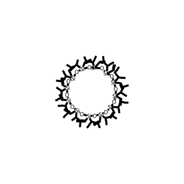 C=C[Si]1(C(C)CC)O[Si](C=C)(C(C)CC)O[Si](C=C)(C(C)CC)O[Si](C=C)(C(C)CC)O[Si](C=C)(C(C)CC)O[Si](C=C)(C(C)CC)O[Si](C=C)(C(C)CC)O[Si](C=C)(C(C)CC)O[Si](C=C)(C(C)CC)O[Si](C=C)(C(C)CC)O[Si](C=C)(C(C)CC)O[Si](C=C)(C(C)CC)O1